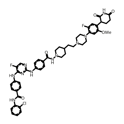 COc1cc(N2CCN(CCC3CCN(NC(=O)c4ccc(Nc5ncc(F)c(Nc6ccc(C(=O)Nc7ccccc7Cl)cc6)n5)cc4)CC3)CC2)c(F)cc1C1CCC(=O)NC1=O